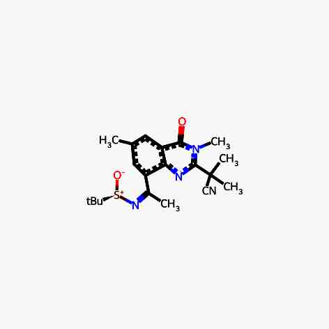 C/C(=N/[S@+]([O-])C(C)(C)C)c1cc(C)cc2c(=O)n(C)c(C(C)(C)C#N)nc12